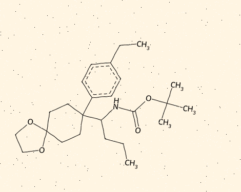 CCCC(NC(=O)OC(C)(C)C)C1(c2ccc(CC)cc2)CCC2(CC1)OCCO2